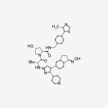 Cc1ncsc1-c1ccc(CNC(=O)[C@@H]2C[C@@H](O)CN2C(=O)C(Bn2cc(-c3ccc4c(c3)CC/C4=N\O)c(-c3ccncc3)n2)C(C)(C)C)cc1